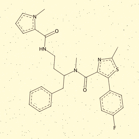 Cc1nc(C(=O)N(C)C(CCNC(=O)c2cccn2C)Cc2ccccc2)c(-c2ccc(F)cc2)s1